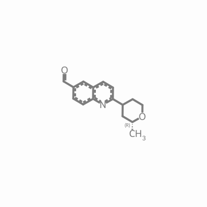 C[C@@H]1CC(c2ccc3cc(C=O)ccc3n2)CCO1